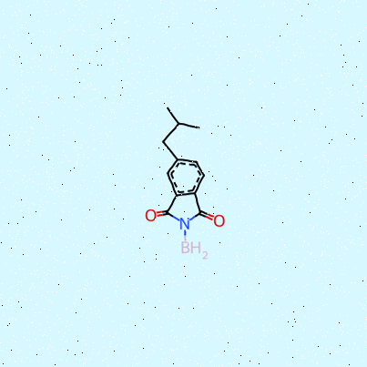 BN1C(=O)c2ccc(CC(C)C)cc2C1=O